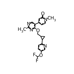 Cc1ncc(-c2ccn(C)c(=O)c2)c(OCC2CC2c2ccc(OC(F)F)cn2)n1